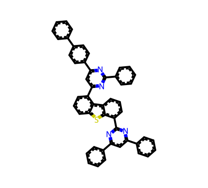 c1ccc(-c2ccc(-c3cc(-c4cccc5sc6c(-c7nc(-c8ccccc8)cc(-c8ccccc8)n7)cccc6c45)nc(-c4ccccc4)n3)cc2)cc1